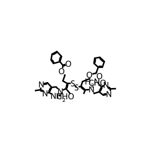 C/C(=C(/CCOC(=O)c1ccccc1)SS/C(CCOC(=O)c1ccccc1)=C(\C)N(C=O)Cc1cnc(C)nc1N)N(C=O)Cc1cnc(C)nc1N